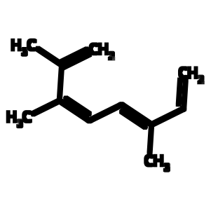 C=CC(C)=CC=C(C)C(=C)C